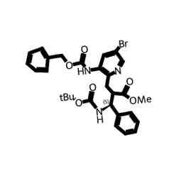 COC(=O)C(Cc1ncc(Br)cc1NC(=O)OCc1ccccc1)[C@H](NC(=O)OC(C)(C)C)c1ccccc1